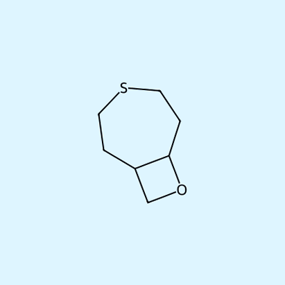 C1CC2COC2CCS1